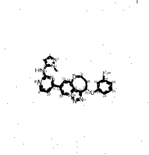 Cn1nccc1Nc1nccc(-c2cc3c4c(nnn4c2)[C@@H](Oc2cccc(F)c2)CCO3)n1